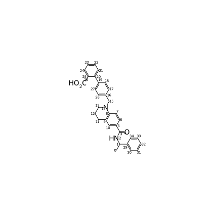 CC(NC(=O)c1ccc2c(c1)CCCN2Cc1ccc(-c2ccccc2C(=O)O)cc1)c1ccccc1